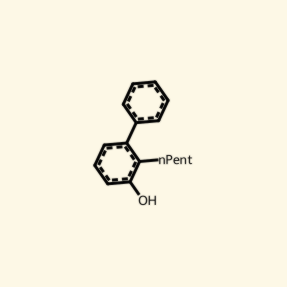 CCCCCc1c(O)cccc1-c1ccccc1